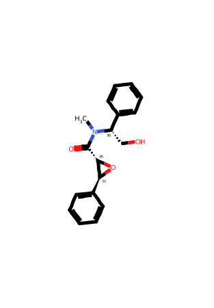 CN(C(=O)[C@@H]1O[C@H]1c1ccccc1)[C@@H](CO)c1ccccc1